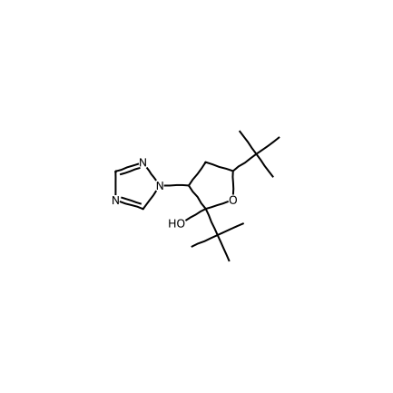 CC(C)(C)C1CC(n2cncn2)C(O)(C(C)(C)C)O1